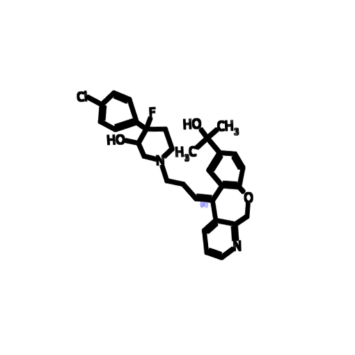 CC(C)(O)c1ccc2c(c1)/C(=C\CCN1CCC(F)(c3ccc(Cl)cc3)C(O)C1)c1cccnc1CO2